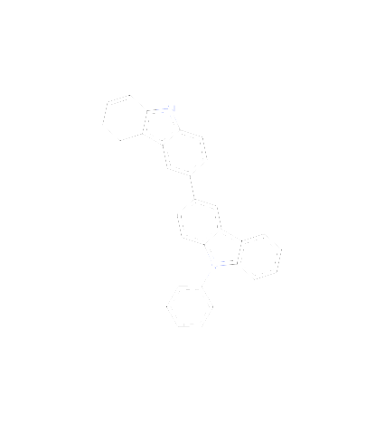 C1=Cc2[nH]c3ccc(-c4ccc5c(c4)c4ccccc4n5-c4ccccc4)cc3c2CC1